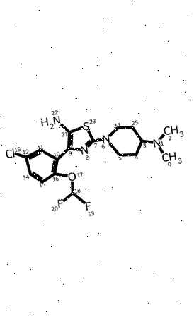 CN(C)C1CCN(c2nc(-c3cc(Cl)ccc3OC(F)F)c(N)s2)CC1